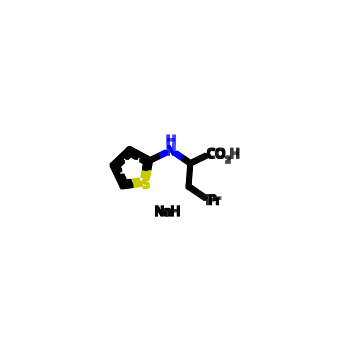 CC(C)CC(Nc1cccs1)C(=O)O.[NaH]